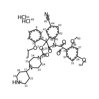 CCOc1ccccc1C1(OC(=O)N2CCN(C3CCNCC3)CC2)C(=O)N(S(=O)(=O)c2ccc(OC)cc2OC)c2ccc(C#N)cc21.Cl.Cl